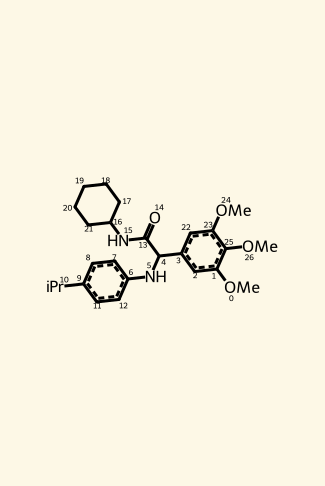 COc1cc(C(Nc2ccc(C(C)C)cc2)C(=O)NC2CCCCC2)cc(OC)c1OC